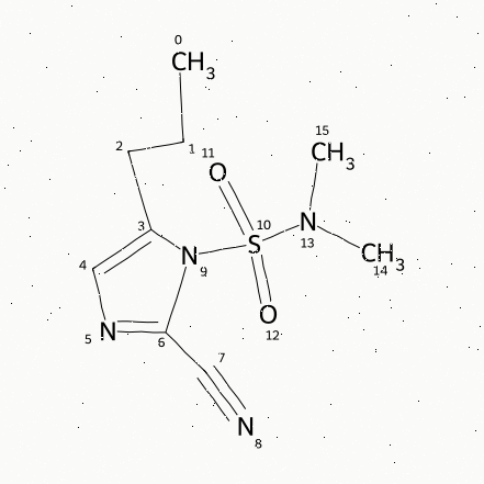 CCCc1cnc(C#N)n1S(=O)(=O)N(C)C